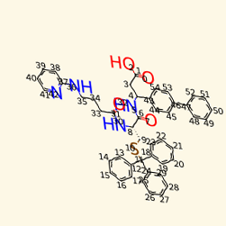 O=C(O)CC(NC(=O)[C@H](CSC(c1ccccc1)(c1ccccc1)c1ccccc1)NC(=O)CCCNc1ccccn1)c1ccc(-c2ccccc2)cc1